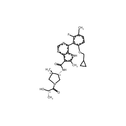 Cc1ccc(OCC2CC2)c(-c2ncnc3c(C(=O)N[C@@H]4CN(C(=O)[C@H](C)O)C[C@H]4C)c(C)[nH]c23)c1F